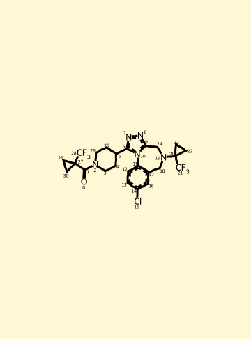 O=C(N1CCC(c2nnc3n2-c2ccc(Cl)cc2CN(C2(C(F)(F)F)CC2)C3)CC1)C1(C(F)(F)F)CC1